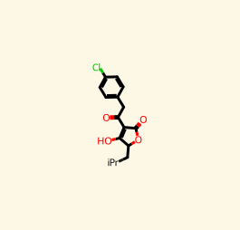 CC(C)CC1OC(=O)C(C(=O)Cc2ccc(Cl)cc2)=C1O